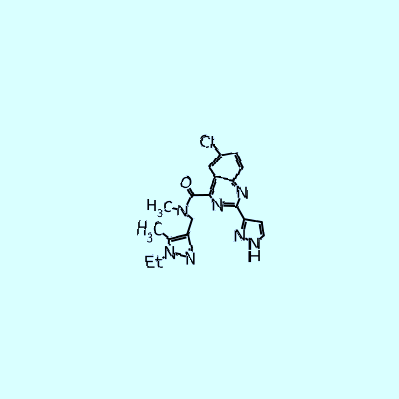 CCn1ncc(CN(C)C(=O)c2nc(-c3cc[nH]n3)nc3ccc(Cl)cc23)c1C